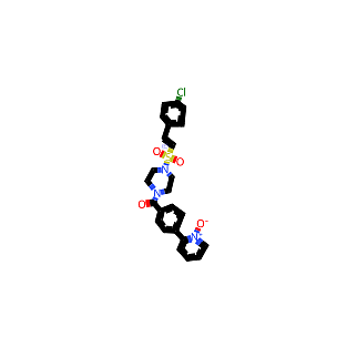 O=C(c1ccc(-c2cccc[n+]2[O-])cc1)N1CCN(S(=O)(=O)/C=C/c2ccc(Cl)cc2)CC1